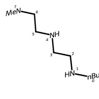 CC[CH]CNCCNCCNC